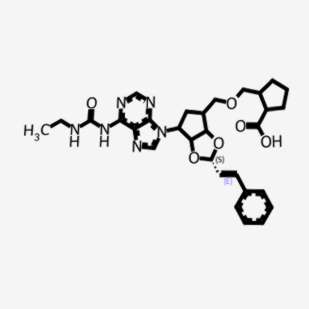 CCNC(=O)Nc1ncnc2c1ncn2C1CC(COCC2CCCC2C(=O)O)C2O[C@H](/C=C/c3ccccc3)OC21